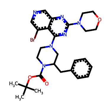 CC(C)(C)OC(=O)N1CCN(c2nc(N3CCOCC3)nc3cncc(Br)c23)CC1Cc1ccccc1